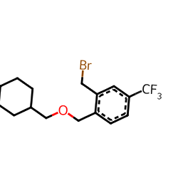 FC(F)(F)c1ccc(COCC2CCCCC2)c(CBr)c1